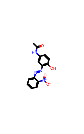 CC(=O)Nc1ccc(O)c(N=Nc2ccccc2[N+](=O)[O-])c1